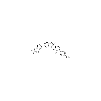 Cc1ccc(-c2ccc(C(F)(F)Oc3ccc(-c4cc(F)c(OC(F)(F)F)c(F)c4)c(F)c3)c(F)c2F)cc1